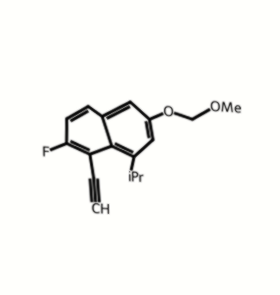 C#Cc1c(F)ccc2cc(OCOC)cc(C(C)C)c12